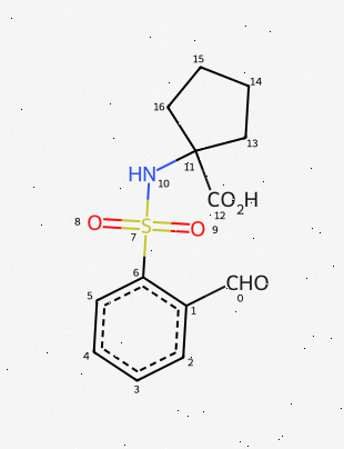 O=Cc1ccccc1S(=O)(=O)NC1(C(=O)O)CCCC1